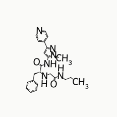 CCCNC(=O)CN[C@@H](Cc1ccccc1)C(=O)Nc1cc(-c2ccncc2)nn1C